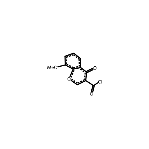 COc1cccc2c(=O)c(C(=O)Cl)coc12